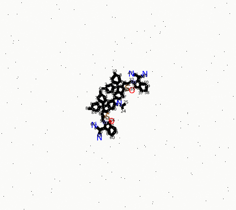 Cc1ccc(C2(c3ccc(C)cc3)c3cc4c5cc6c(cc5n(C(C)C)c4cc3-c3sc(/C=C4\C(=O)c5ccccc5C4=C(C#N)C#N)cc32)-c2sc(/C=C3\C(=O)c4ccccc4C3=C(C#N)C#N)cc2C6(c2ccc(C)cc2)c2ccc(C)cc2)cc1